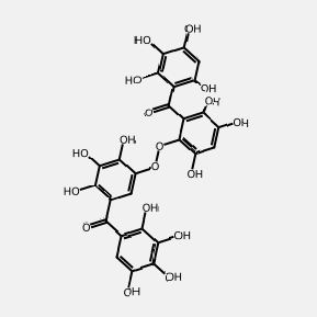 O=C(c1cc(O)c(O)c(O)c1O)c1cc(OOc2c(O)cc(O)c(O)c2C(=O)c2c(O)cc(O)c(O)c2O)c(O)c(O)c1O